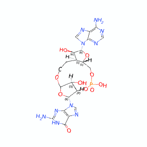 Nc1nc2c(ncn2[C@@H]2OC3OCC[C@H]4[C@@H](O)[C@H](n5cnc6c(N)ncnc65)O[C@@H]4COP(=O)(O)O[C@@H]2[C@@H]3O)c(=O)[nH]1